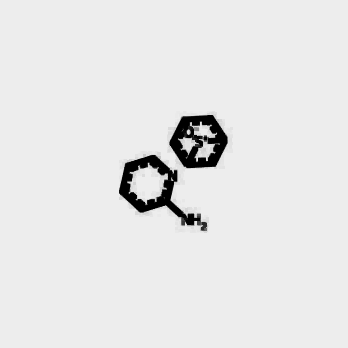 Nc1ccccn1.[O-][S+]1c2cccc1c2